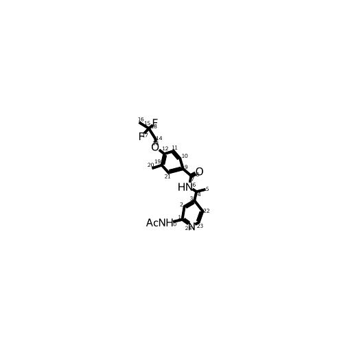 CC(=O)Nc1cc(C(C)NC(=O)c2ccc(OCC(C)(F)F)c(C)c2)ccn1